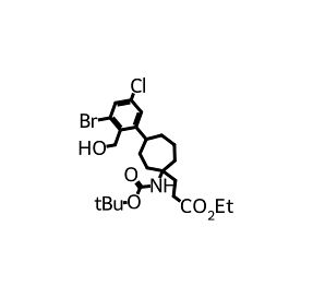 CCOC(=O)CCC1(NC(=O)OC(C)(C)C)CCCC(c2cc(Cl)cc(Br)c2CO)CC1